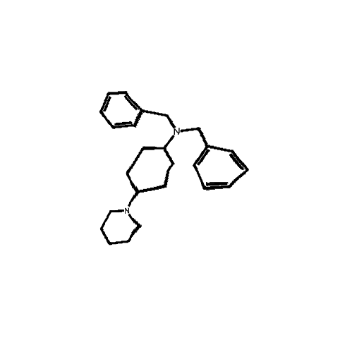 c1ccc(CN(Cc2ccccc2)C2CCC(N3CCCCC3)CC2)cc1